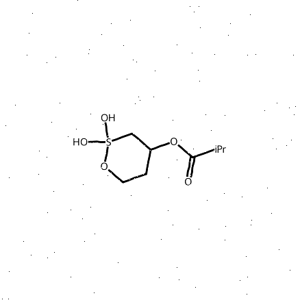 CC(C)C(=O)OC1CCOS(O)(O)C1